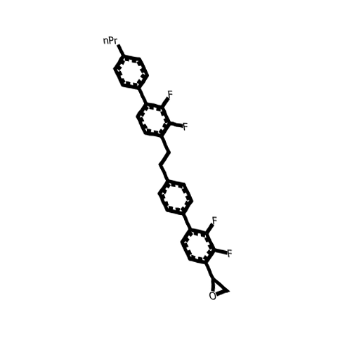 CCCc1ccc(-c2ccc(CCc3ccc(-c4ccc(C5CO5)c(F)c4F)cc3)c(F)c2F)cc1